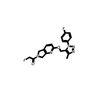 Cc1nnn(-c2ccc(F)cc2)c1COc1ccc2c(n1)CN(C(=O)CF)C2